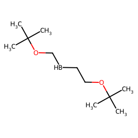 CC(C)(C)OCBCCOC(C)(C)C